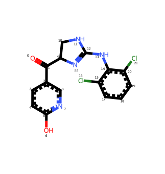 O=C(c1ccc(O)nc1)C1CNC(Nc2c(Cl)cccc2Cl)=N1